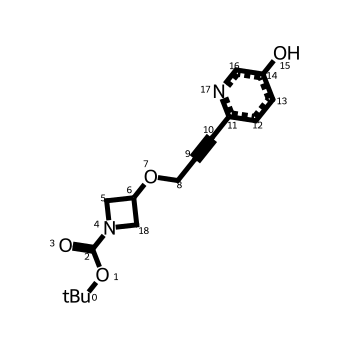 CC(C)(C)OC(=O)N1CC(OCC#Cc2ccc(O)cn2)C1